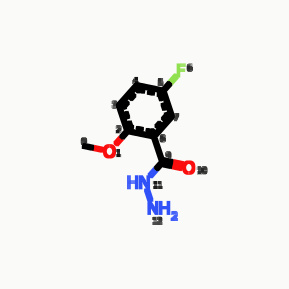 COc1ccc(F)cc1C(=O)NN